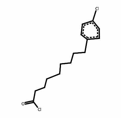 O=C(Cl)CCCCCCCCc1ccc(Cl)cc1